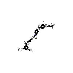 Nc1cc(N)cc(C(=O)OCCCCOC(=O)/C=C/c2ccc(OC(F)(F)c3ccc(OCCCC(F)(F)F)c(F)c3)cc2)c1